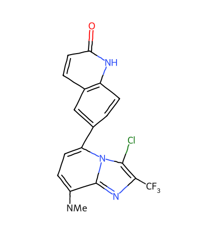 CNc1ccc(-c2ccc3[nH]c(=O)ccc3c2)n2c(Cl)c(C(F)(F)F)nc12